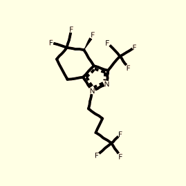 F[C@H]1c2c(C(F)(F)F)nn(CCCC(F)(F)F)c2CCC1(F)F